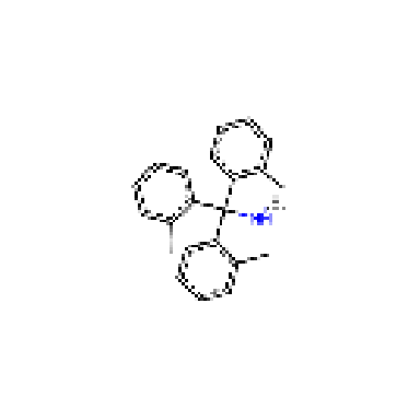 CCNC(c1ccccc1C)(c1ccccc1C)c1ccccc1C